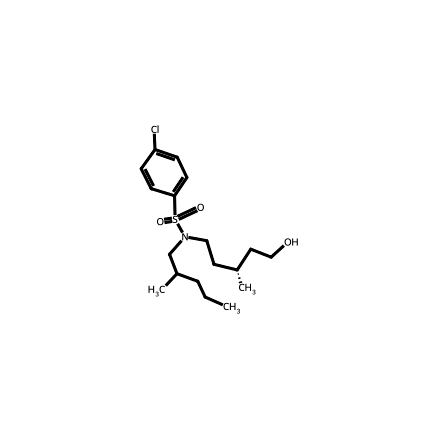 CCCC(C)CN(CC[C@@H](C)CCO)S(=O)(=O)c1ccc(Cl)cc1